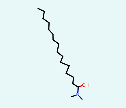 CCCCCCCCCCCCCCCC(O)N(C)C